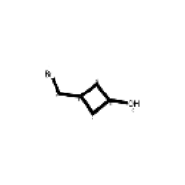 OC1CC(CBr)C1